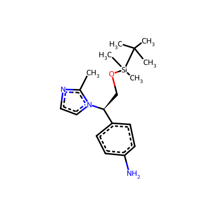 Cc1nccn1[C@@H](CO[Si](C)(C)C(C)(C)C)c1ccc(N)cc1